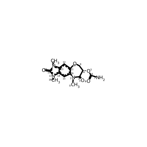 CN1C(=O)[C@@H](OC(N)=O)COc2cc3c(cc21)n(C)c(=O)n3C